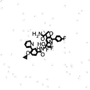 C[C@]1(C(N)=O)COc2c1cc([C@@](O)(CNC(=O)c1ccc(OC3CC3)c(-c3ccccn3)c1)C(F)(F)F)nc2-c1ccc(F)cc1